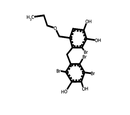 CCCOCc1cc(O)c(O)c(Br)c1Cc1c(Br)c(O)c(O)c(Br)c1Br